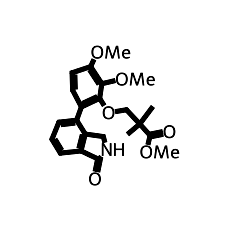 COC(=O)C(C)(C)COc1c(-c2cccc3c2CNC3=O)ccc(OC)c1OC